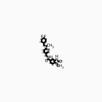 CN(CC1CCC(F)(F)CC1)c1ccc(CNC(=O)c2ccc3c(c2)[nH]c(=O)n3C)cn1